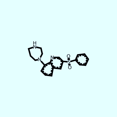 O=S(=O)(c1ccccc1)c1cnc2c(N3CCCNCC3)cccc2c1